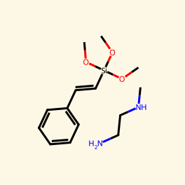 CNCCN.CO[Si](C=Cc1ccccc1)(OC)OC